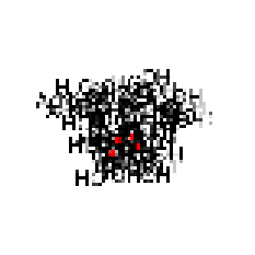 CC(=O)NC1C(O)[C@H](O[C@@H]2OC(CO[C@]3(OC=O)C[C@@H](O)[C@@H](C)C(C(O)C(O)CO)O3)[C@H](O)[C@H](O)C2O)[C@H](CO)O[C@H]1OC1[C@@H](OCC2O[C@@H](O[C@@H]3C(CO)O[C@@H](O[C@@H]4C(CO)O[C@@H](C)C(NC(C)=O)[C@H]4O)C(NC(C)=O)[C@H]3O)C(O)[C@@H](O[C@H]3OC(CO)[C@@H](O)C(O)C3O[C@@H]3OC(CO)[C@H](O[C@@H]4OC(CO)[C@H](O)[C@H](O)C4O)[C@H](O)C3NC(C)=O)[C@@H]2O)OC(CO)[C@@H](O)[C@@H]1O